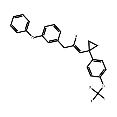 FC(=CC1(c2ccc(OC(F)(F)F)cc2)CC1)Cc1cccc(Oc2ccccc2)c1